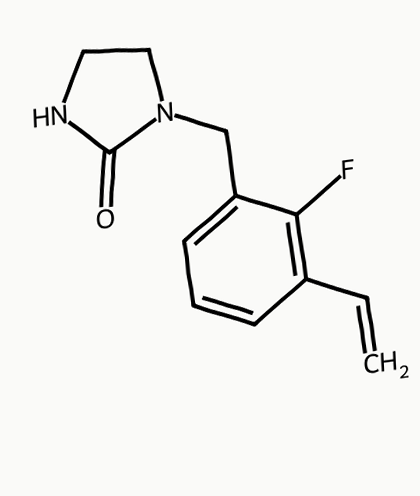 C=Cc1cccc(CN2CCNC2=O)c1F